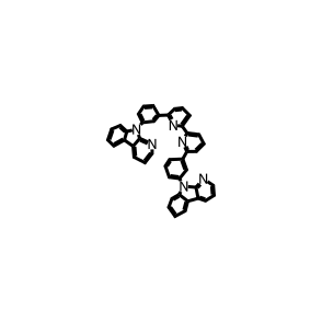 c1cc(-c2cccc(-c3cccc(-c4cccc(-n5c6ccccc6c6cccnc65)c4)n3)n2)cc(-n2c3ccccc3c3cccnc32)c1